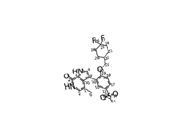 Cc1c[nH]c(=O)c2[nH]cc(-c3cc(S(C)(=O)=O)ccc3OCC3CCC(F)(F)CC3)c12